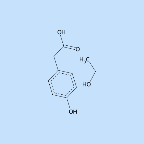 CCO.O=C(O)Cc1ccc(O)cc1